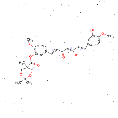 COc1ccc(/C=C/C(O)=C/C(=O)/C=C/c2ccc(OC)c(OC(=O)C3(C)COC(C)(C)OC3)c2)cc1O